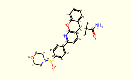 CC(C)(C(N)=O)[C@H]1c2ccccc2Oc2nc(-c3ccc([S+]([O-])N4CCOCC4)cc3)ccc21